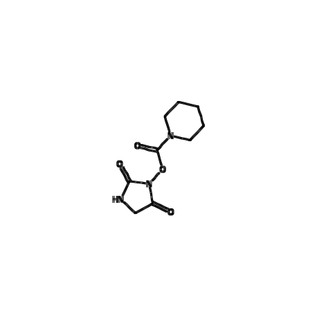 O=C(ON1C(=O)CNC1=O)N1CCCCC1